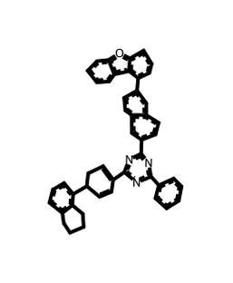 C1=CC(c2cccc3c2CCCC3)CC=C1c1nc(-c2ccccc2)nc(-c2ccc3cc(-c4cccc5oc6ccccc6c45)ccc3c2)n1